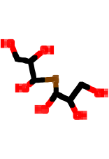 OCC(O)C(O)SC(O)C(O)CO